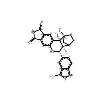 Nc1n[nH]c2ccc([C@@H]3Nc4cc5c(cc4[C@H]4[C@@H]6CCC(C6)[C@H]43)C(=O)NC5=O)cc12